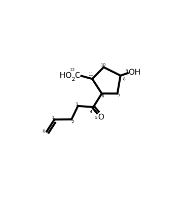 C=CCCC(=O)C1CC(O)CC1C(=O)O